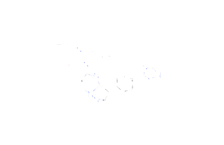 CC(C)[C@H]1CN(C)C(=O)N1c1ccn2ncc(-c3ccc(-c4nc[nH]n4)cc3)c2n1